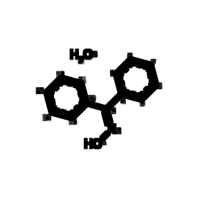 O.ON=C(c1ccccc1)c1ccccc1